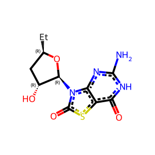 CC[C@@H]1C[C@@H](O)[C@H](n2c(=O)sc3c(=O)[nH]c(N)nc32)O1